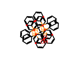 CC(C(C(=O)O)([PH](c1ccccc1)(c1ccccc1)c1ccccc1)[PH](c1ccccc1)(c1ccccc1)c1ccccc1)([PH](c1ccccc1)(c1ccccc1)c1ccccc1)[PH](c1ccccc1)(c1ccccc1)c1ccccc1